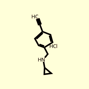 C#Cc1ccc(CNC2CC2)cc1.Cl